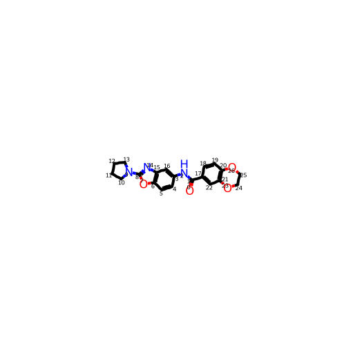 O=C(Nc1ccc2oc(N3CCCC3)nc2c1)c1ccc2c(c1)OCCO2